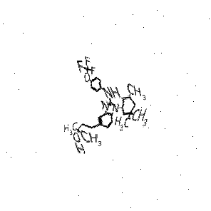 C[C@H]1C[C@@H](n2c(Nc3ccc(OC(F)(F)F)cc3)nc3cc(CCC(C)(C)O)ccc32)CC(C)(C)C1